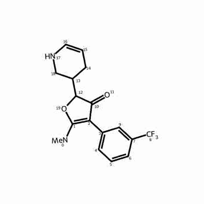 CNC1=C(c2cccc(C(F)(F)F)c2)C(=O)C(C2CC=CNC2)O1